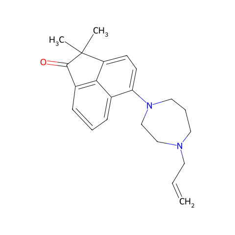 C=CCN1CCCN(c2ccc3c4c(cccc24)C(=O)C3(C)C)CC1